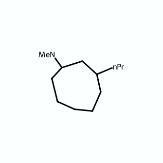 CCCC1CCCCCC(NC)C1